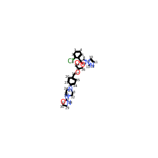 Clc1ccccc1[C@]1(Cn2ccnc2)OC[C@H](OCc2ccc(N3CCN(C4=NCCO4)CC3)cc2)CO1